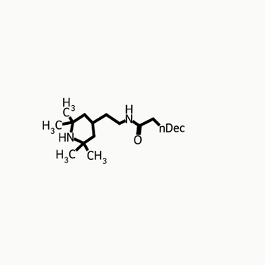 CCCCCCCCCCCC(=O)NCCC1CC(C)(C)NC(C)(C)C1